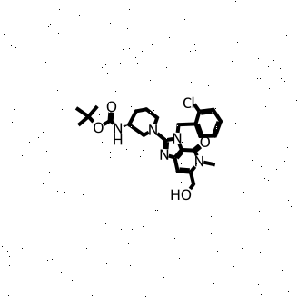 Cn1c(CO)cc2nc(N3CCC[C@@H](NC(=O)OC(C)(C)C)C3)n(Cc3ccccc3Cl)c2c1=O